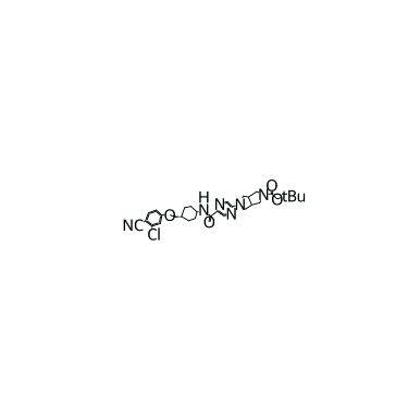 CC(C)(C)OC(=O)N1CC2CN(c3cnc(C(=O)N[C@H]4CC[C@H](COc5ccc(C#N)c(Cl)c5)CC4)cn3)CC2C1